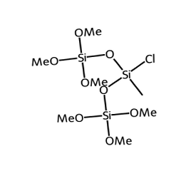 CO[Si](OC)(OC)O[Si](C)(Cl)O[Si](OC)(OC)OC